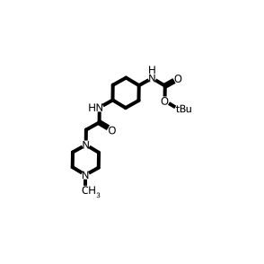 CN1CCN(CC(=O)NC2CCC(NC(=O)OC(C)(C)C)CC2)CC1